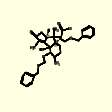 CCC(=O)CC1(C)[C@@H]2CC(=O)C(C)=C2C2(O)C(OCOCc3ccccc3)C(C)CC[C@@]21OCOCc1ccccc1